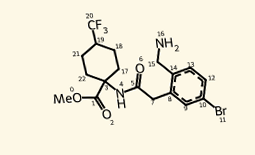 COC(=O)C1(NC(=O)Cc2cc(Br)ccc2CN)CCC(C(F)(F)F)CC1